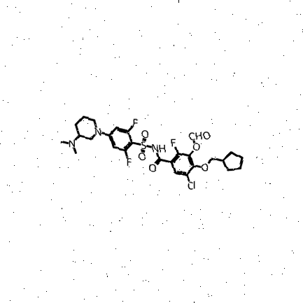 CN(C)C1CCCN(c2cc(F)c(S(=O)(=O)NC(=O)c3cc(Cl)c(OCC4CCCC4)c(OC=O)c3F)c(F)c2)C1